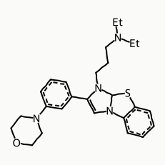 CCN(CC)CCCN1C(c2cccc(N3CCOCC3)c2)=CN2c3ccccc3SC12